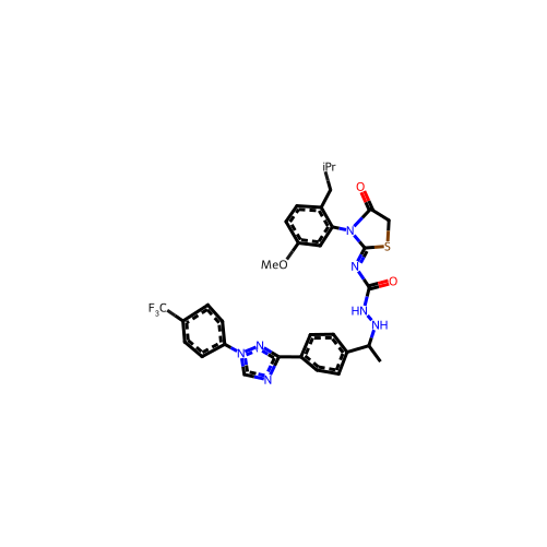 COc1ccc(CC(C)C)c(N2C(=O)CS/C2=N\C(=O)NNC(C)c2ccc(-c3ncn(-c4ccc(C(F)(F)F)cc4)n3)cc2)c1